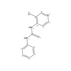 O=C(Nc1ccccc1)Nc1ccncc1Cl